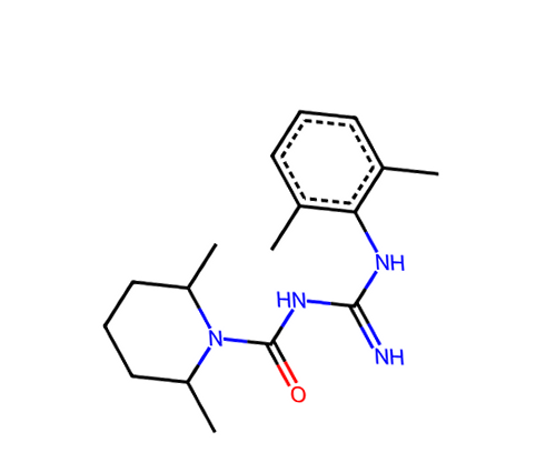 Cc1cccc(C)c1NC(=N)NC(=O)N1C(C)CCCC1C